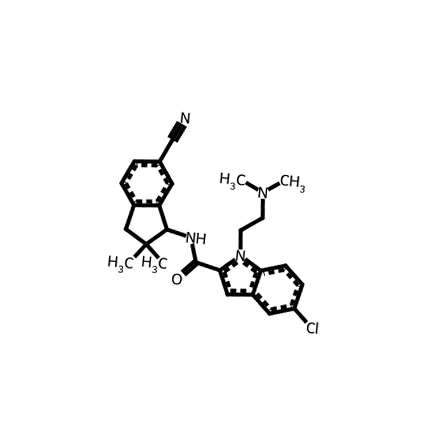 CN(C)CCn1c(C(=O)NC2c3cc(C#N)ccc3CC2(C)C)cc2cc(Cl)ccc21